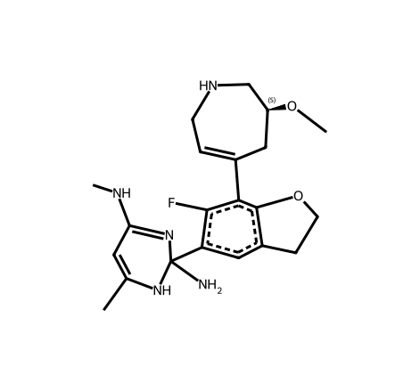 CNC1=NC(N)(c2cc3c(c(C4=CCNC[C@@H](OC)C4)c2F)OCC3)NC(C)=C1